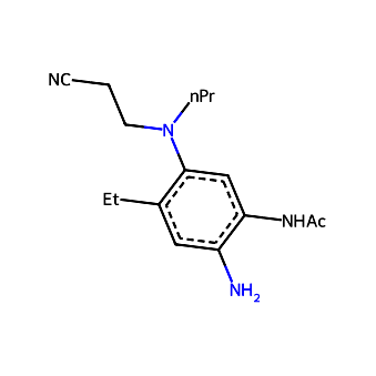 CCCN(CCC#N)c1cc(NC(C)=O)c(N)cc1CC